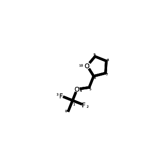 CC(F)(F)OCC1CCCO1